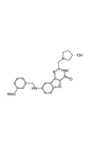 COc1cccc(CNc2ccc3oc4c(=O)[nH]c(CN5CC[C@H](O)C5)nc4c3c2)c1